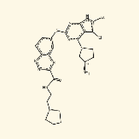 CCc1[nH]c2nc(Sc3ccc4nnc(C(=O)NCCN5CCCC5)nc4c3)nc(N3CC[C@@H](N)C3)c2c1Cl